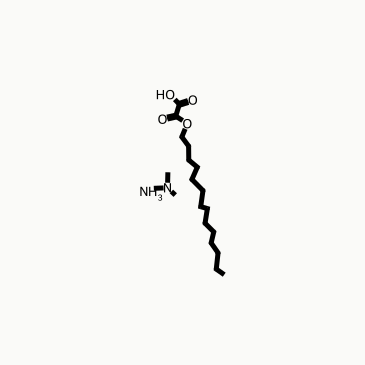 CCCCCCCCCCCCCCOC(=O)C(=O)O.CN(C)C.N